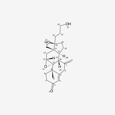 C=C1CC2=CC(=O)CC[C@]2(C)[C@@]23O[C@@H]2C[C@@]2(C)[C@@H](CC[C@@]2(O)CCCO)[C@H]13